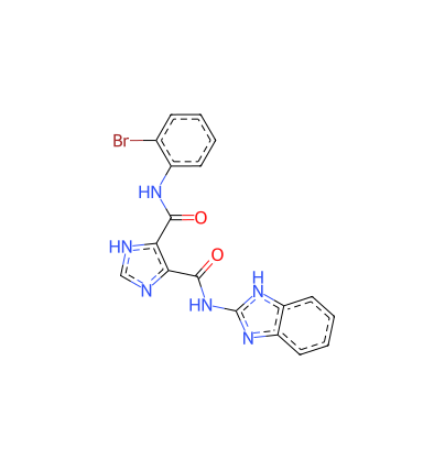 O=C(Nc1nc2ccccc2[nH]1)c1nc[nH]c1C(=O)Nc1ccccc1Br